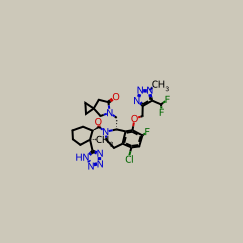 Cn1nnc(COc2c(F)cc(Cl)c3c2[C@@H](CN2CC4(CC4)CC2=O)N(C(=O)[C@@H]2CCCC[C@]2(C)c2nnn[nH]2)CC3)c1C(F)F